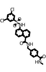 CNC(=O)c1ccc(CNC(=O)c2cccc3c(NS(=O)(=O)c4cc(Cl)cc(Cl)c4)cccc23)cc1